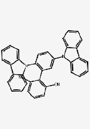 N#Cc1cccc(C#N)c1-c1cc(-n2c3ccccc3c3ccccc32)ccc1-n1c2ccccc2c2ccccc21